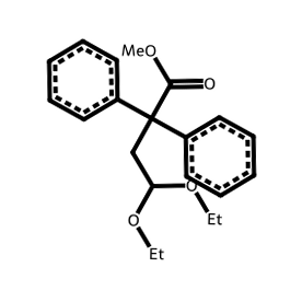 CCOC(CC(C(=O)OC)(c1ccccc1)c1ccccc1)OCC